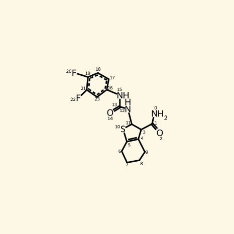 NC(=O)C1C2=C(CCCC2)SC1NC(=O)Nc1ccc(F)c(F)c1